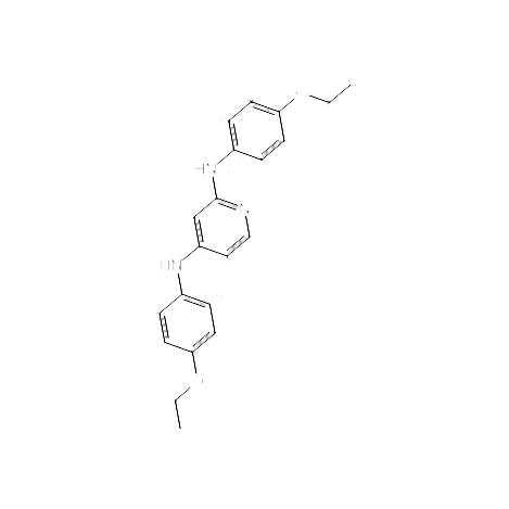 CCOc1ccc(Nc2ccnc(Nc3ccc(OCC)cc3)c2)cc1